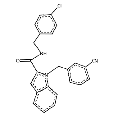 N#Cc1cccc(Cn2c(C(=O)NCc3ccc(Cl)cc3)cc3ccccc32)c1